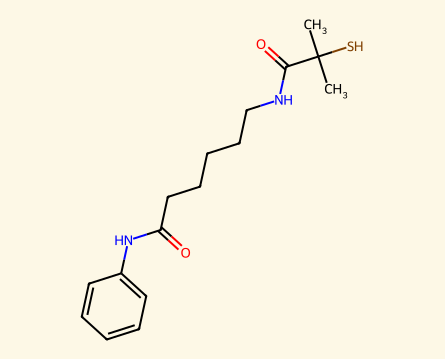 CC(C)(S)C(=O)NCCCCCC(=O)Nc1ccccc1